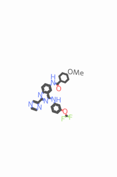 COC1CCC(C(=O)Nc2ccc3nc(-c4cnccn4)nc(Nc4cccc(OC(F)F)c4)c3c2)CC1